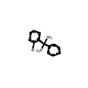 NC(N)(c1ccccc1)c1ccccc1Br